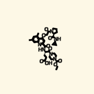 CCOC(=O)N1CCN(C(=O)[C@H](CCC(=O)O)NC(=O)c2cc(OCC(=O)N3CCC[C@H]3C(=O)NC3CC3)c3c(C)cc(C)cc3n2)CC1